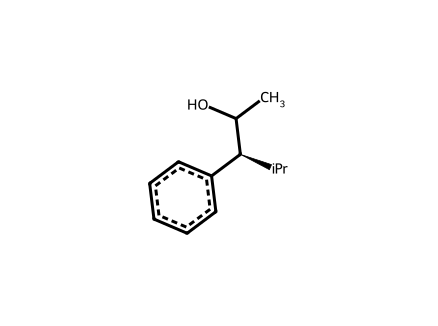 CC(C)[C@@H](c1ccccc1)C(C)O